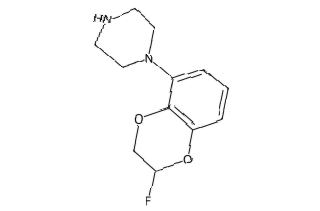 FC1COc2c(cccc2N2CCNCC2)O1